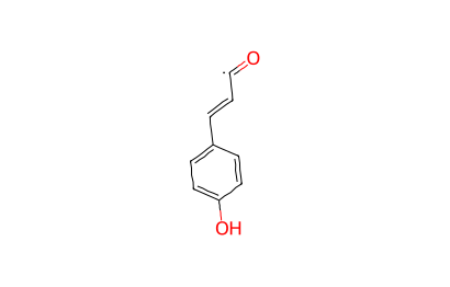 O=[C]/C=C/c1ccc(O)cc1